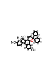 CC1(C)c2cc(C#N)ccc2-c2c1c1c(c3cc(C#N)ccc23)OC(c2ccccc2)(c2ccccc2)C=C1